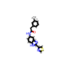 O=C(Cc1cccc(C(F)(F)F)c1)Nc1ccc2[nH]c(-c3cscn3)nc2c1